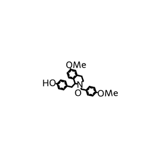 COc1ccc(C(=O)N2CCc3cc(OC)ccc3C2Cc2ccc(O)cc2)cc1